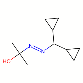 CC(C)(O)N=NC(C1CC1)C1CC1